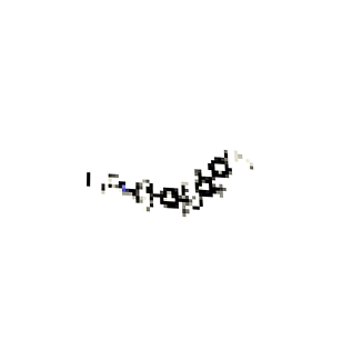 C/C=C/C1COC(c2ccc(C(F)(F)Oc3cc(F)c(-c4ccc(C(F)(F)F)cc4)c(F)c3)cc2)OC1